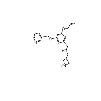 C=CCOc1cc(CNCC2CNC2)cc(OCc2cccnc2)c1